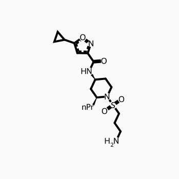 CCC[C@H]1C[C@@H](NC(=O)c2cc(C3CC3)on2)CCN1S(=O)(=O)CCCN